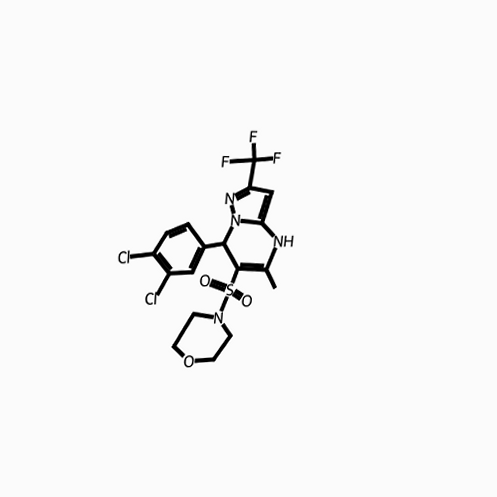 CC1=C(S(=O)(=O)N2CCOCC2)C(c2ccc(Cl)c(Cl)c2)n2nc(C(F)(F)F)cc2N1